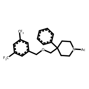 CC(=O)N1CCC(COCc2cc(C(F)(F)F)cc(C(F)(F)F)c2)(c2ccccc2)CC1